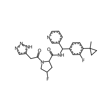 CC1(c2ccc(C(NC(=O)C3CC(F)CN3C(=O)Cc3cnn[nH]3)c3cccnc3)cc2F)CC1